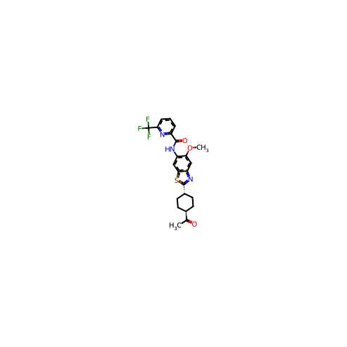 COc1cc2nc([C@H]3CC[C@H](C(C)=O)CC3)sc2cc1NC(=O)c1cccc(C(F)(F)F)n1